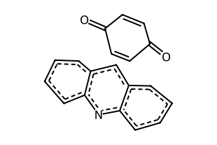 O=C1C=CC(=O)C=C1.c1ccc2nc3ccccc3cc2c1